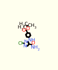 CC(C)(C)OC(=O)c1ccc(Nc2nc(Cl)ncc2C(N)=O)cc1